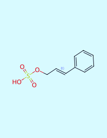 O=S(=O)(O)OC/C=C/c1ccccc1